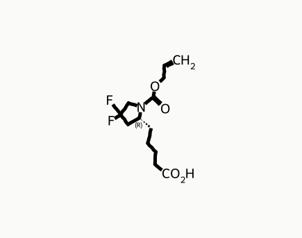 C=CCOC(=O)N1CC(F)(F)C[C@H]1CCCCC(=O)O